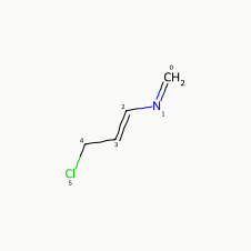 C=NC=CCCl